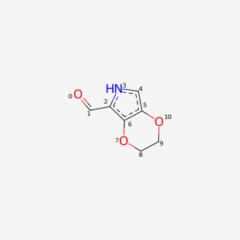 O=Cc1[nH]cc2c1OCCO2